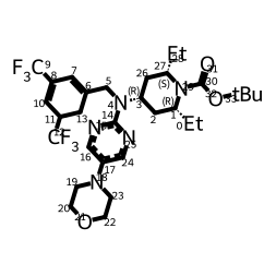 CC[C@@H]1C[C@H](N(CC2=CC(C(F)(F)F)=CC(C(F)(F)F)C2)c2ncc(N3CCOCC3)cn2)C[C@H](CC)N1C(=O)OC(C)(C)C